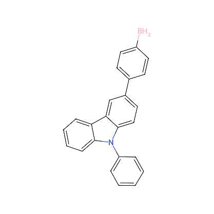 Bc1ccc(-c2ccc3c(c2)c2ccccc2n3-c2ccccc2)cc1